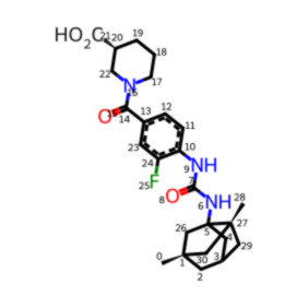 C[C@@]12CC3CC(NC(=O)Nc4ccc(C(=O)N5CCC[C@H](C(=O)O)C5)cc4F)(C1)[C@](C)(C3)C2